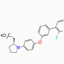 Cc1ccc(F)c(-c2cccc(Oc3ccc(N4CCC[C@H]4CC(=O)O)cc3)c2)c1